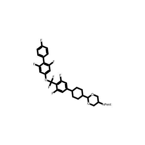 CCCCCC1COC(C2CCC(c3cc(F)c(C(F)(F)Oc4cc(F)c(-c5ccc(F)cc5)c(F)c4)c(F)c3)CC2)OC1